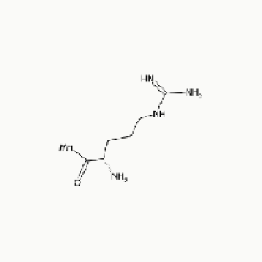 N=C(N)NCCC[C@H](N)[C](=O)[Mn]